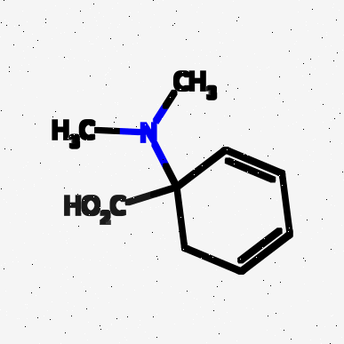 CN(C)C1(C(=O)O)C=CC=CC1